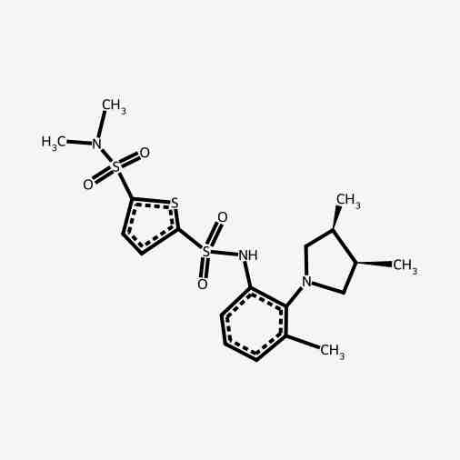 Cc1cccc(NS(=O)(=O)c2ccc(S(=O)(=O)N(C)C)s2)c1N1C[C@@H](C)[C@@H](C)C1